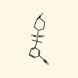 CC(C)(c1cccc(C#N)c1)S(=O)(=O)N1CCC(=O)CC1